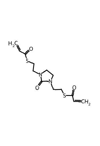 C=CC(=O)SCCN1CCN(CCSC(=O)C=C)C1=O